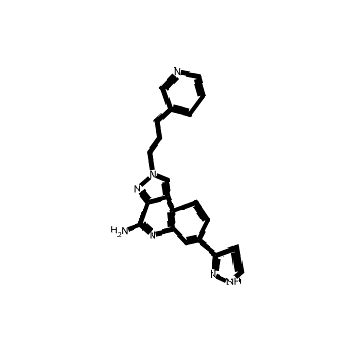 Nc1nc2cc(-c3cc[nH]n3)ccc2c2cn(CCCc3cccnc3)nc12